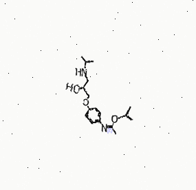 C/C(=N/c1ccc(OCC(O)CNC(C)C)cc1)OC(C)C